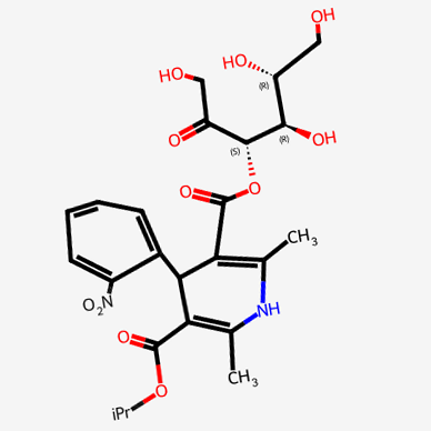 CC1=C(C(=O)OC(C)C)C(c2ccccc2[N+](=O)[O-])C(C(=O)O[C@H](C(=O)CO)[C@H](O)[C@H](O)CO)=C(C)N1